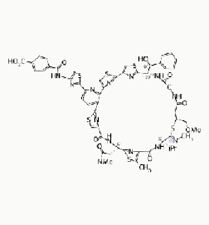 C/N=C1\SC(COC)CC(=O)NCC(=O)N[C@@H]([C@@H](O)c2ccccc2)c2nc(cs2)-c2nc(cs2)-c2nc(-c3nc(NC(=O)c4ccc(C(=O)O)cc4)cs3)ccc2-c2nc(cs2)C(=O)N[C@@H](CC(=O)NC)c2nc(c(C)s2)C(=O)N[C@H]1C(C)C